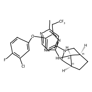 Cc1cc(N2C[C@H]3CC[C@@H](C2)[C@H]3Nc2nc(Oc3ccc(F)c(Cl)c3)n(CC(F)(F)F)n2)ncn1